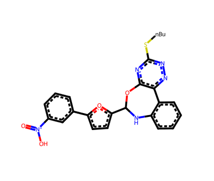 CCCCSc1nnc2c(n1)OC(c1ccc(-c3cccc([N+](=O)O)c3)o1)Nc1ccccc1-2